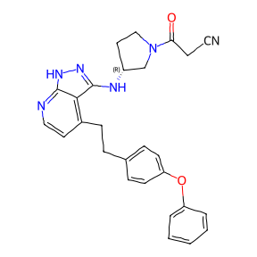 N#CCC(=O)N1CC[C@@H](Nc2n[nH]c3nccc(CCc4ccc(Oc5ccccc5)cc4)c23)C1